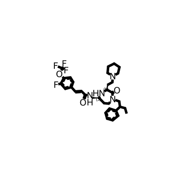 CCC(CN1CC[C@@H](CNC(=O)C=Cc2ccc(OC(F)(F)F)c(F)c2)N[C@@H](CCN2CCCCC2)C1=O)c1ccccc1